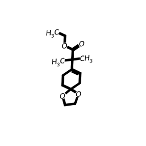 CCOC(=O)C(C)(C)C1=CCC2(CC1)OCCO2